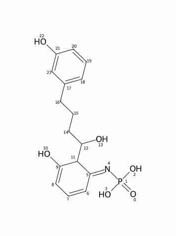 O=P(O)(O)/N=C1\C=CC=C(O)C1C(O)CCCc1cccc(O)c1